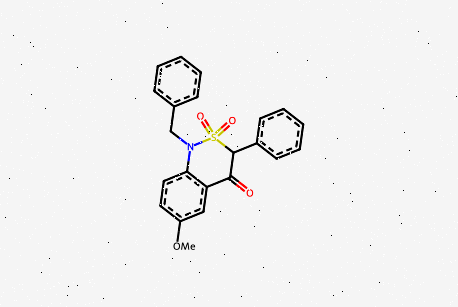 COc1ccc2c(c1)C(=O)C(c1ccccc1)S(=O)(=O)N2Cc1ccccc1